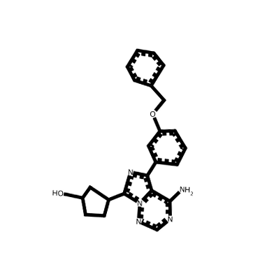 Nc1ncnn2c(C3CCC(O)C3)nc(-c3cccc(OCc4ccccc4)c3)c12